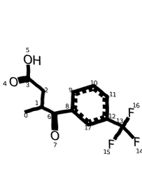 CC(CC(=O)O)C(=O)c1cccc(C(F)(F)F)c1